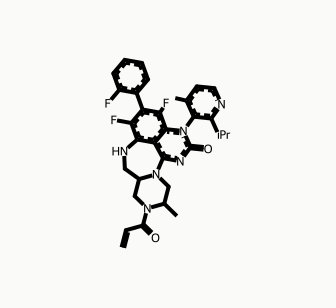 C=CC(=O)N1CC2CNc3c(F)c(-c4ccccc4F)c(F)c4c3c(nc(=O)n4-c3c(C)ccnc3C(C)C)N2CC1C